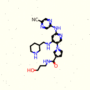 N#Cc1cnc(Nc2cc(NCC3CCCNC3)c(-n3ccc(C(=O)NCCCO)c3)cn2)cn1